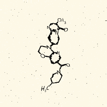 Cc1cnc2cc(N3CCOc4cc(C(=O)N5CCC(C)CC5)cnc43)ccn2c1=O